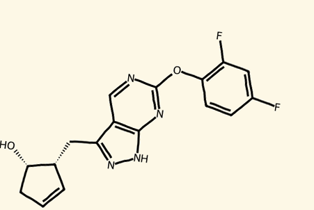 O[C@H]1CC=C[C@H]1Cc1n[nH]c2nc(Oc3ccc(F)cc3F)ncc12